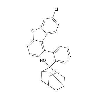 OC1(c2ccccc2-c2cccc3oc4cc(Cl)ccc4c23)C2CC3CC(C2)CC1C3